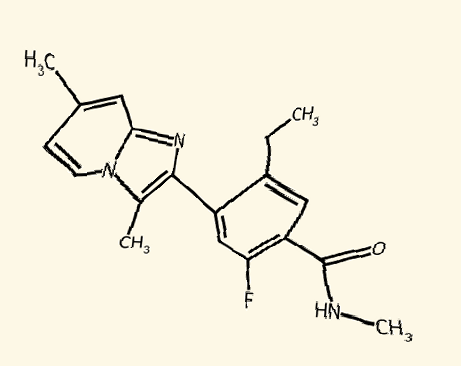 CCc1cc(C(=O)NC)c(F)cc1-c1nc2cc(C)ccn2c1C